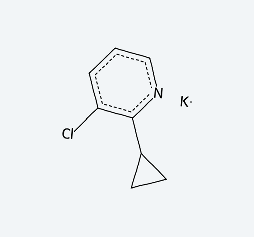 Clc1cccnc1C1CC1.[K]